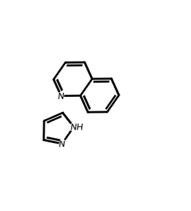 c1ccc2ncccc2c1.c1cn[nH]c1